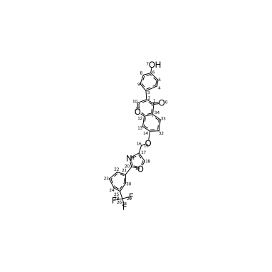 O=c1c(-c2ccc(O)cc2)coc2cc(OCc3coc(-c4cccc(C(F)(F)F)c4)n3)ccc12